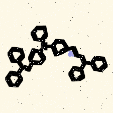 C(/C=C/c1ccc(N(c2ccccc2)c2ccc(C=C(c3ccccc3)c3ccccc3)cc2)cc1)=C(c1ccccc1)c1ccccc1